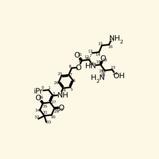 CC(C)CC(Nc1ccc(COC(=O)[C@H](CCCCN)NC(=O)[C@@H](N)CO)cc1)=C1C(=O)CC(C)(C)CC1=O